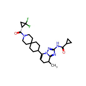 CC1CC=C(C2CCC3(CC2)CCN(C(=O)[C@@H]2CC2(F)F)CC3)n2nc(NC(=O)C3CC3)nc21